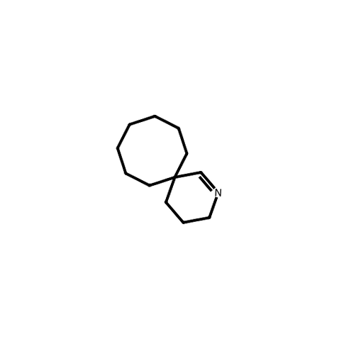 C1=NCCCC12CCCCCCC2